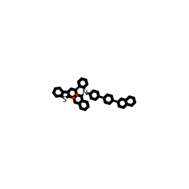 c1ccc(N(c2ccc(-c3ccc(-c4ccc5ccccc5c4)cc3)cc2)c2cccc3ccccc23)c(-c2ccc3sc4ccccc4c3c2)c1